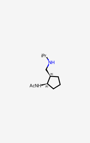 CC(=O)N[C@@H]1CCC[C@@H]1CNC(C)C